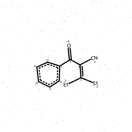 CCC(CC)=C(C#N)C(=O)c1ccccc1